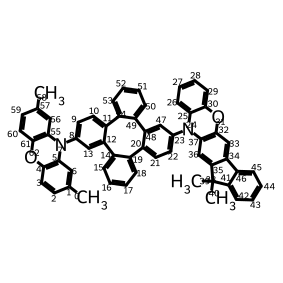 Cc1ccc2c(c1)N(c1ccc3c(c1)-c1ccccc1-c1ccc(N4c5ccccc5Oc5cc6c(cc54)C(C)(C)c4ccccc4-6)cc1-c1ccccc1-3)c1cc(C)ccc1O2